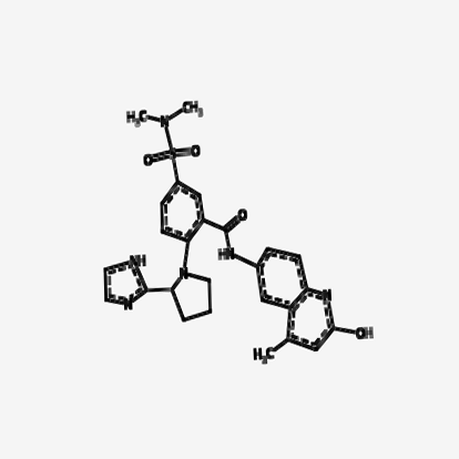 Cc1cc(O)nc2ccc(NC(=O)c3cc(S(=O)(=O)N(C)C)ccc3N3CCCC3c3ncc[nH]3)cc12